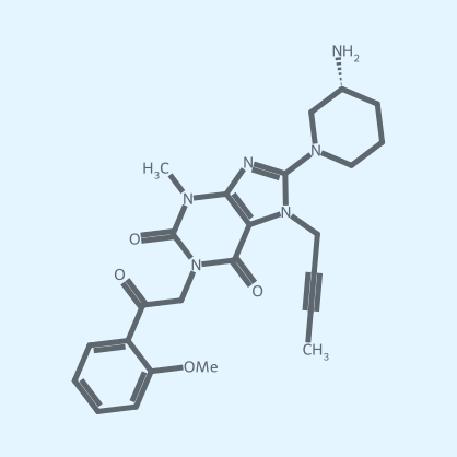 CC#CCn1c(N2CCC[C@@H](N)C2)nc2c1c(=O)n(CC(=O)c1ccccc1OC)c(=O)n2C